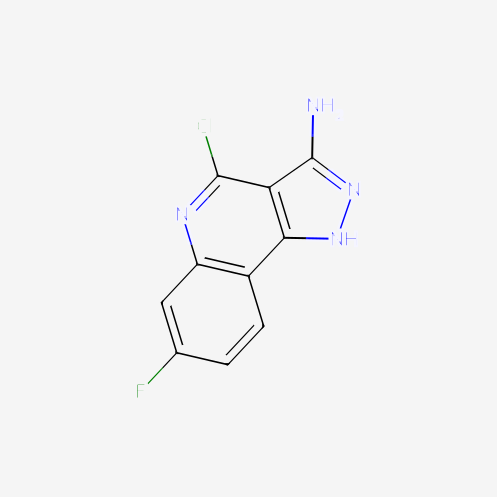 Nc1n[nH]c2c1c(Cl)nc1cc(F)ccc12